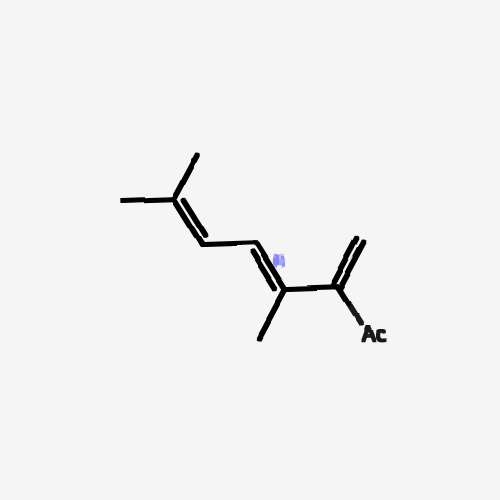 C=C(C(C)=O)/C(C)=C/C=C(C)C